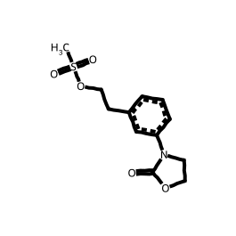 CS(=O)(=O)OCCc1cccc(N2CCOC2=O)c1